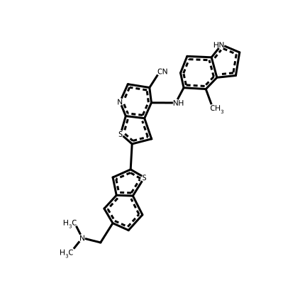 Cc1c(Nc2c(C#N)cnc3sc(-c4cc5cc(CN(C)C)ccc5s4)cc23)ccc2[nH]ccc12